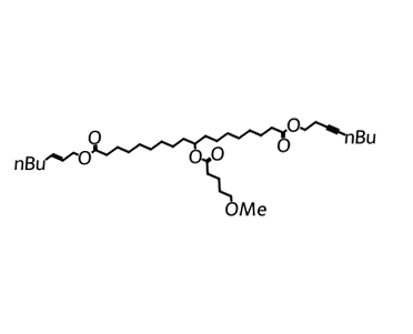 CCCCC#CCCOC(=O)CCCCCCCC(CCCCCCCCC(=O)OC/C=C/CCCC)OC(=O)CCCCOC